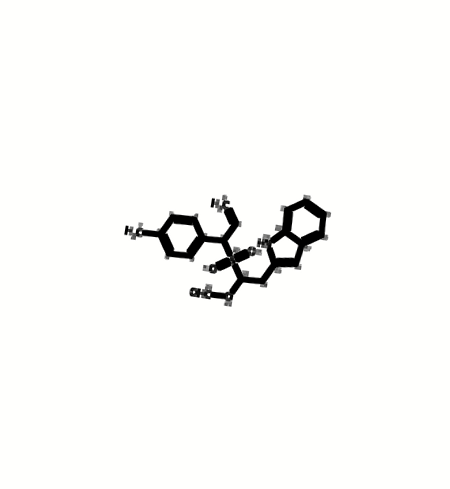 C=CC(c1ccc(C)cc1)S(=O)(=O)C(Cc1cc2ccccc2[nH]1)OC=O